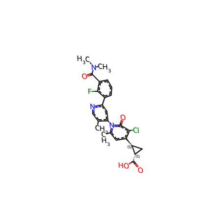 Cc1cnc(-c2cccc(C(=O)N(C)C)c2F)cc1-n1c(C)cc([C@H]2C[C@@H]2C(=O)O)c(Cl)c1=O